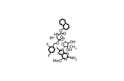 COc1nc(N)nc2c1nc(I)n2[C@@H]1O[C@H](COP(=O)(N[C@H](C(=O)OCc2ccc(F)cc2F)C(C)C)Oc2cccc3ccccc23)[C@@H](O)[C@@]1(C)O